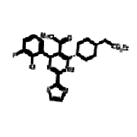 CCOC(=O)C[C@H]1CC[C@H](C2=C(C(=O)OC)C(c3cccc(F)c3Cl)N=C(c3nccs3)N2)CC1